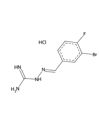 Cl.N=C(N)NN=Cc1ccc(F)c(Br)c1